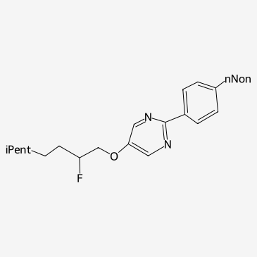 CCCCCCCCCc1ccc(-c2ncc(OCC(F)CCC(C)CCC)cn2)cc1